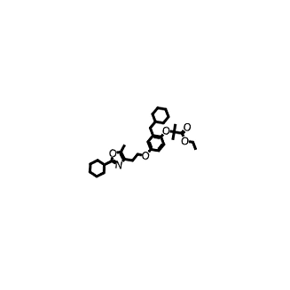 CCOC(=O)C(C)(C)Oc1ccc(OCCc2nc(C3CCCCC3)oc2C)cc1CC1CCCCC1